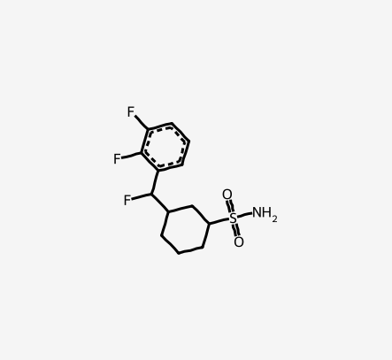 NS(=O)(=O)C1CCCC(C(F)c2cccc(F)c2F)C1